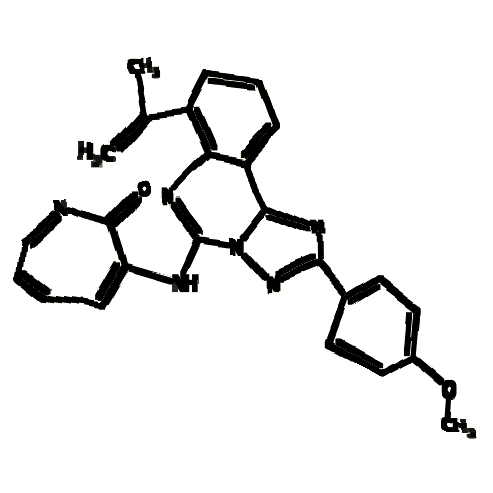 C=C(C)c1cccc2c1nc(Nc1ccccnc1=O)n1nc(-c3ccc(OC)cc3)nc21